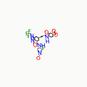 COCCN1CC[C@H](NC(=O)c2cc(C#CCNc3ccc(S(C)(=O)=O)cc3OC)cc3c2ncn3CC(F)(F)F)[C@@H](F)C1